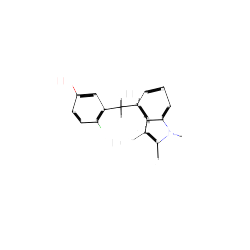 CCOC(=O)c1c(C)n(CC)c2cccc(C(C)(C(=O)OCC)c3cc(O)ccc3Cl)c12